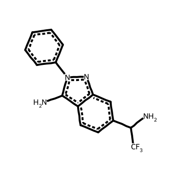 Nc1c2ccc(C(N)C(F)(F)F)cc2nn1-c1ccccc1